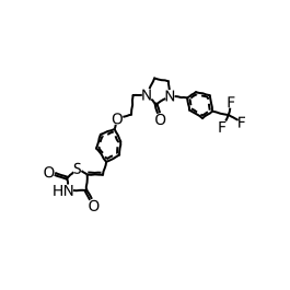 O=C1NC(=O)C(=Cc2ccc(OCCN3CCN(c4ccc(C(F)(F)F)cc4)C3=O)cc2)S1